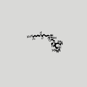 CN[C@@H](CCCCNC(=O)CCCS(=O)(=O)NC(=O)Cn1cnc(-c2nnn[nH]2)c1-c1nnn[nH]1)C(C)=O